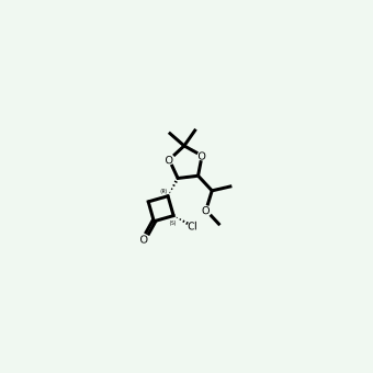 COC(C)C1OC(C)(C)OC1[C@H]1CC(=O)[C@H]1Cl